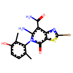 Cc1ccc(O)c(C)c1-n1c(N)c(C(N)=O)c2nc(Br)sc2c1=O